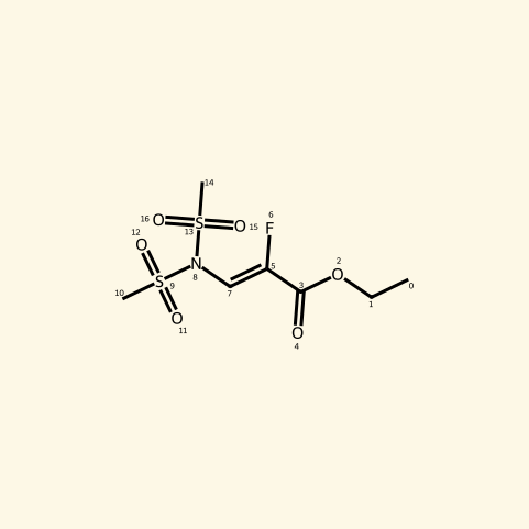 CCOC(=O)C(F)=CN(S(C)(=O)=O)S(C)(=O)=O